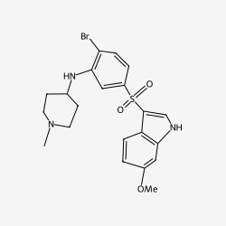 COc1ccc2c(S(=O)(=O)c3ccc(Br)c(NC4CCN(C)CC4)c3)c[nH]c2c1